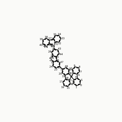 c1ccc2c(c1)-c1ccccc1C21c2ccccc2-c2cc(-c3ccc4sc5cc(-n6c7ccccc7c7cccnc76)ccc5c4c3)ccc21